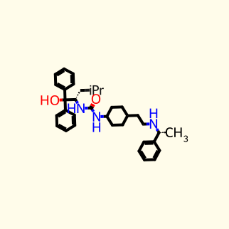 CC(C)C[C@H](NC(=O)NC1CCC(CCN[C@H](C)c2ccccc2)CC1)C(O)(c1ccccc1)c1ccccc1